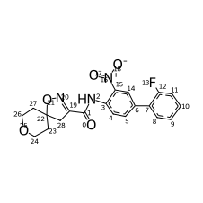 O=C(Nc1ccc(-c2ccccc2F)cc1[N+](=O)[O-])C1=NOC2(CCOCC2)C1